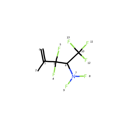 C=C(C)C(F)(F)C(N(F)F)C(F)(F)F